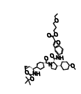 CCOCCCOC(=O)c1cc2cc(NC(=O)[C@@H]3[C@H](C4CCC(OC)CC4)CCN3C(=O)[C@H]3CC[C@H]([C@@H](CF)NC(=O)OC(C)(C)C)CC3)ccc2o1